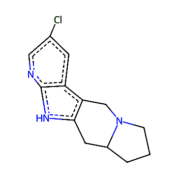 Clc1cnc2[nH]c3c(c2c1)CN1CCCC1C3